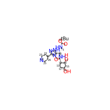 CC(C)(C)OC(=O)NC[C@H](NC(=O)c1ccc(O)cc1O)c1nc(-c2ccncc2)n[nH]1